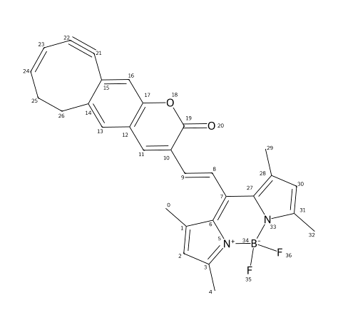 CC1=CC(C)=[N+]2C1=C(/C=C/c1cc3cc4c(cc3oc1=O)C#C/C=C\CC4)c1c(C)cc(C)n1[B-]2(F)F